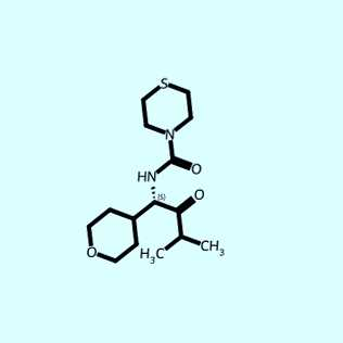 CC(C)C(=O)[C@@H](NC(=O)N1CCSCC1)C1CCOCC1